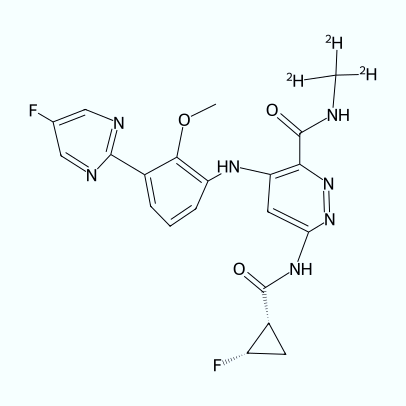 [2H]C([2H])([2H])NC(=O)c1nnc(NC(=O)[C@@H]2C[C@@H]2F)cc1Nc1cccc(-c2ncc(F)cn2)c1OC